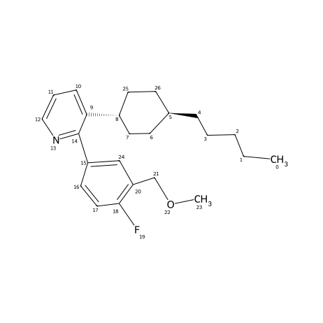 CCCCC[C@H]1CC[C@H](c2cccnc2-c2ccc(F)c(COC)c2)CC1